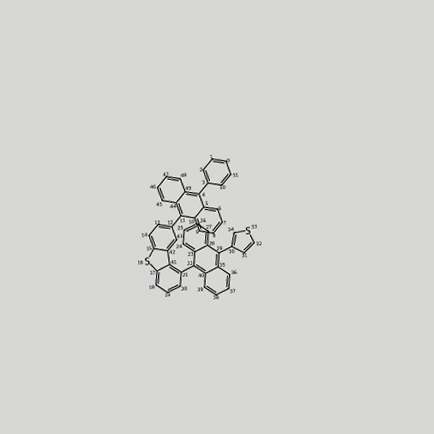 c1ccc(-c2c3ccccc3c(-c3ccc4sc5cccc(-c6c7ccccc7c(-c7ccsc7)c7ccccc67)c5c4c3)c3ccccc23)cc1